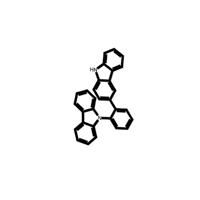 c1ccc(-n2c3ccccc3c3ccccc32)c(-c2ccc3[nH]c4ccccc4c3c2)c1